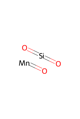 O=[Si]=O.[O]=[Mn]